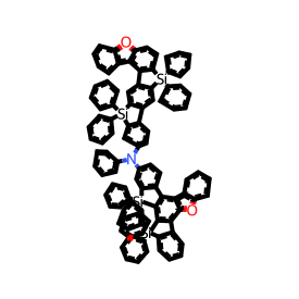 c1ccc(N(c2ccc3c(c2)[Si](c2ccccc2)(c2ccccc2)c2cc4c(cc2-3)[Si](c2ccccc2)(c2ccccc2)c2ccc3oc5ccccc5c3c2-4)c2ccc3c(c2)[Si](c2ccccc2)(c2ccccc2)c2c4c(c5oc6ccccc6c5c2-3)-c2ccccc2[Si]4(c2ccccc2)c2ccccc2)cc1